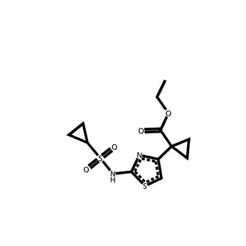 CCOC(=O)C1(c2csc(NS(=O)(=O)C3CC3)n2)CC1